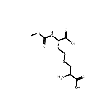 COC(=O)N[C@@H](CSSCC(N)C(=O)O)C(=O)O